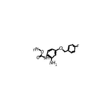 CCCOC(=O)Nc1ccc(OCc2ccc(F)cc2)cc1N